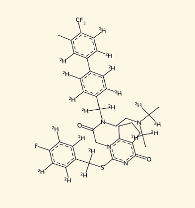 [2H]c1c([2H])c(C([2H])([2H])Sc2nc(=O)c3c(n2CC(=O)N(CCN(C([2H])([2H])C)C([2H])([2H])C)C([2H])([2H])c2c([2H])c([2H])c(-c4c([2H])c([2H])c(C(F)(F)F)c(C)c4[2H])c([2H])c2[2H])CCC3)c([2H])c([2H])c1F